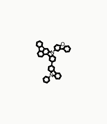 c1ccc(-n2c3ccccc3c3cc(-c4ccc5c(c4)c4c6cccc7c6c(cc4n5-c4ccc5oc6ccccc6c5c4)-c4ccccc4-7)ccc32)cc1